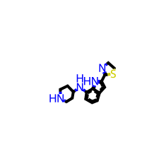 c1cc(NC2CCNCC2)c2[nH]c(C3=NCCS3)cc2c1